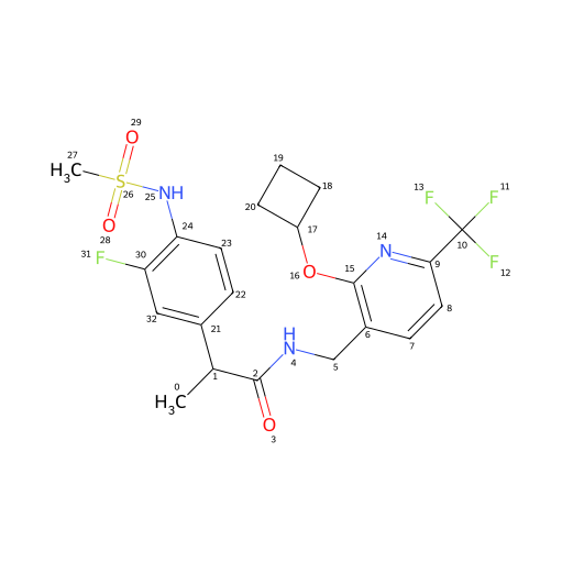 CC(C(=O)NCc1ccc(C(F)(F)F)nc1OC1CCC1)c1ccc(NS(C)(=O)=O)c(F)c1